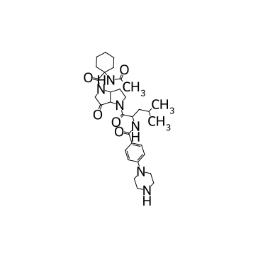 CC(=O)NC1(C(=O)N2CC(=O)C3C2CCN3C(=O)C(CC(C)C)NC(=O)c2ccc(N3CCNCC3)cc2)CCCCC1